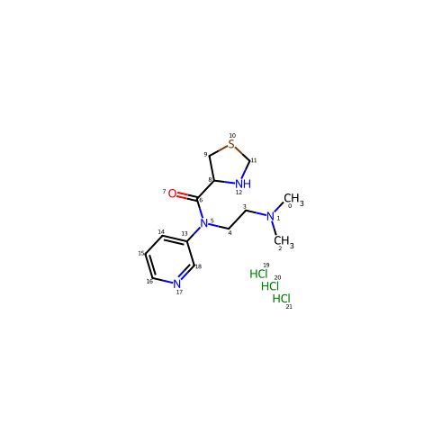 CN(C)CCN(C(=O)C1CSCN1)c1cccnc1.Cl.Cl.Cl